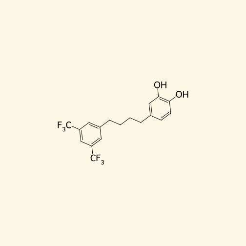 Oc1ccc(CCCCc2cc(C(F)(F)F)cc(C(F)(F)F)c2)cc1O